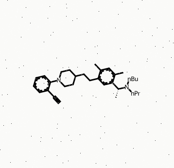 C#Cc1ccccc1N1CCC(CCc2cc([C@@H](C)N(CCC)CCCC)c(C)cc2C)CC1